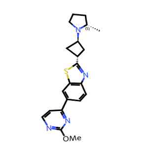 COc1nccc(-c2ccc3nc([C@H]4C[C@H](N5CCC[C@@H]5C)C4)sc3c2)n1